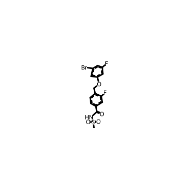 CS(=O)(=O)NC(=O)c1ccc(COc2cc(F)cc(Br)c2)c(F)c1